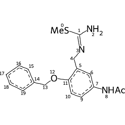 CS/C(N)=N\Cc1cc(NC(C)=O)ccc1OCc1ccccc1